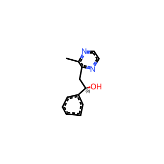 Cc1nccnc1C[C@@H](O)c1ccccc1